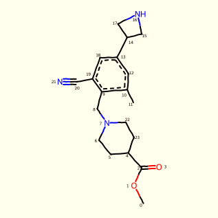 COC(=O)C1CCN(Cc2c(C)cc(C3CNC3)cc2C#N)CC1